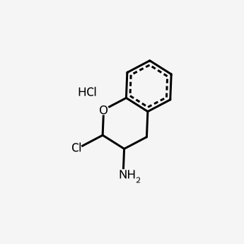 Cl.NC1Cc2ccccc2OC1Cl